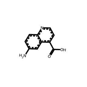 Nc1ccc2nccc(C(=O)O)c2c1